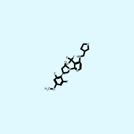 COc1cc(F)c([C@H]2CC(=O)N(c3nccc(NCC4CCOC4)c3C(F)(F)F)C2)c(F)c1